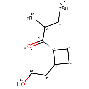 CC(C)(C)CC(C(=O)[C@@H]1CCC1CCO)C(C)(C)C